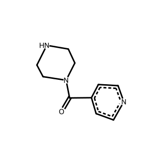 O=C(c1ccncc1)N1CCNCC1